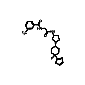 O=C(CNC(=O)c1cccc(C(F)(F)F)c1)NC1CCN(C2CCC(F)(c3nccs3)CC2)C1